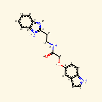 O=C(COc1ccc2[nH]ccc2c1)NCCc1nc2ccccc2[nH]1